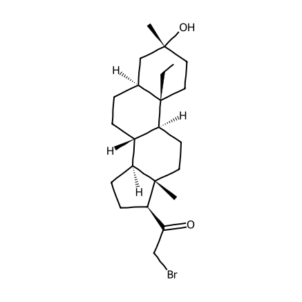 CC[C@]12CC[C@@](C)(O)C[C@@H]1CC[C@H]1[C@@H]3CC[C@H](C(=O)CBr)[C@@]3(C)CC[C@@H]12